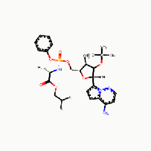 CCC(CC)COC(=O)[C@H](C)N[P@](=O)(OC[C@H]1O[C@@](C#N)(c2ccc3c(N)ccnn23)C(O[Si](C)(C)C(C)(C)C)[C@@H]1C)Oc1ccccc1